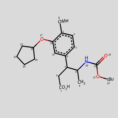 COc1ccc(C(CC(=O)O)C(C)NC(=O)OC(C)(C)C)cc1OC1CCCC1